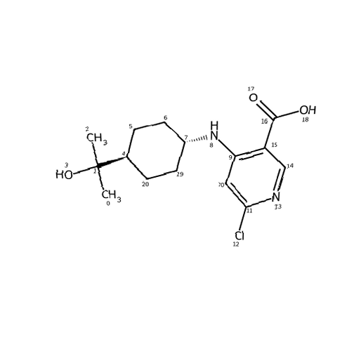 CC(C)(O)[C@H]1CC[C@H](Nc2cc(Cl)ncc2C(=O)O)CC1